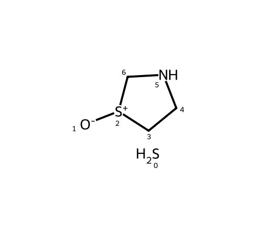 S.[O-][S+]1CCNC1